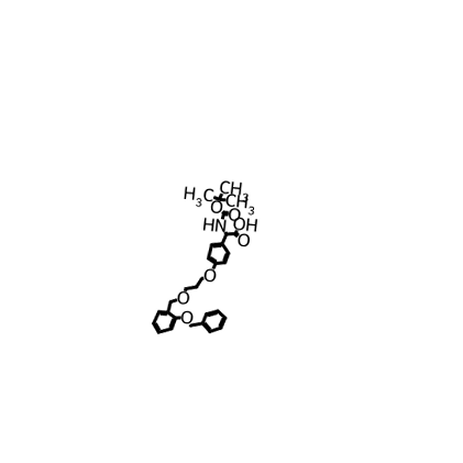 CC(C)(C)OC(=O)NC(C(=O)O)c1ccc(OCCCOCc2ccccc2OCc2ccccc2)cc1